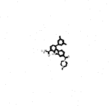 Cc1cc(C)cc(-c2ccc(C(N)=O)c3[nH]c4cc(C(=O)N5CCN(C)CC5)ccc4c23)c1